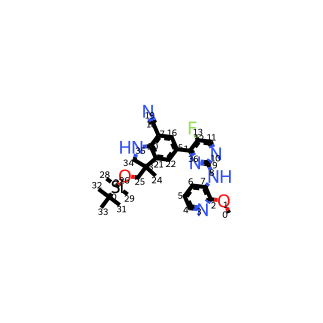 COc1ncccc1Nc1ncc(F)c(-c2cc(C#N)c3c(c2)C(C)(CO[Si](C)(C)C(C)(C)C)CN3)n1